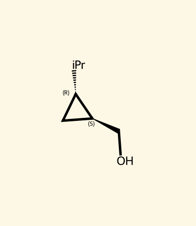 CC(C)[C@H]1C[C@@H]1CO